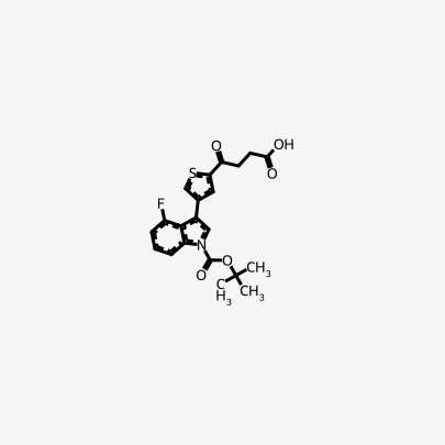 CC(C)(C)OC(=O)n1cc(-c2csc(C(=O)CCC(=O)O)c2)c2c(F)cccc21